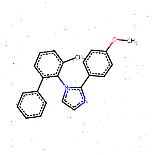 COc1ccc(-c2nccn2-c2c(C)cccc2-c2ccccc2)cc1